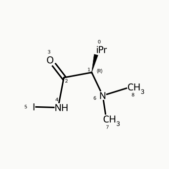 CC(C)[C@H](C(=O)NI)N(C)C